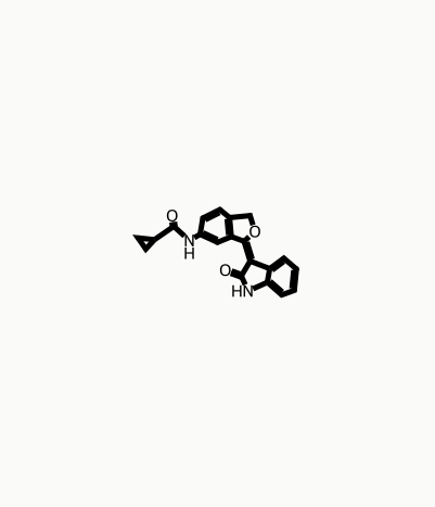 O=C1Nc2ccccc2C1=C1OCc2ccc(NC(=O)C3CC3)cc21